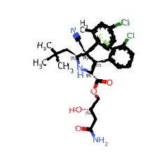 Cc1cc(Cl)ccc1[C@@]1(C#N)[C@H](CC(C)(C)C)N[C@@H](C(=O)OC[C@@H](O)CC(N)=O)[C@@H]1c1cccc(Cl)c1F